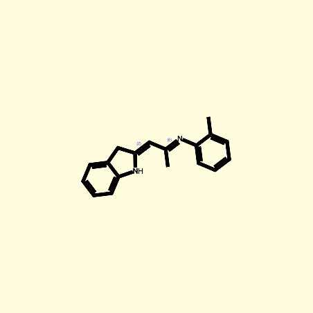 CC(/C=C1/Cc2ccccc2N1)=N\c1ccccc1C